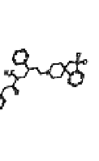 CN(CC(CCN1CCC2(CC1)CS(=O)(=O)c1ccccc12)c1ccccc1)C(=O)Cc1ccccc1